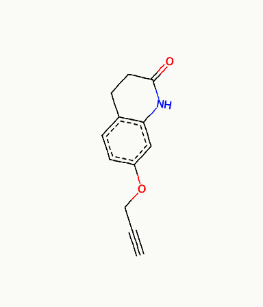 C#CCOc1ccc2c(c1)NC(=O)CC2